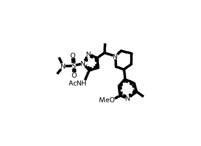 COc1cc(C2CCCN(C(C)c3cc(NC(C)=O)n(S(=O)(=O)N(C)C)n3)C2)cc(C)n1